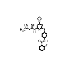 CC(N)CC(=N)Nc1cc(N2CCC2)nc(Sc2ccc(NC(=O)c3ccccc3F)cc2)n1